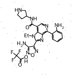 CCn1c(-c2nonc2N)nc2c(-c3ccccc3N)ncc(C(=O)NC3CCNC3)c21.O=C(O)C(F)(F)F